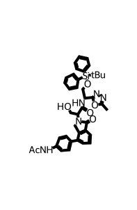 CC(=O)Nc1ccc(-c2cccc3c2CN(C(CO)C(=O)NC(CO[Si](c2ccccc2)(c2ccccc2)C(C)(C)C)c2nnc(C)o2)C3=O)cc1